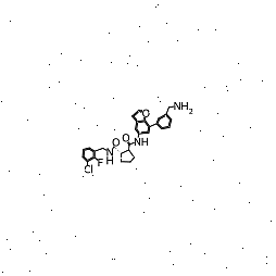 NCc1cccc(-c2cc(NC(=O)[C@H]3CCC[C@@H]3C(=O)NCc3cccc(Cl)c3F)cc3ccoc23)c1